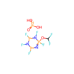 FC(F)OP1(F)=NP(F)N(F)P(F)N1F.O=[PH](O)O